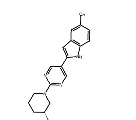 Oc1ccc2[nH]c(-c3cnc(N4CCC[C@@H](O)C4)nc3)cc2c1